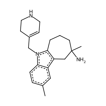 Cc1ccc2c(c1)c1c(n2CC2=CCNCC2)CCCC(C)(N)C1